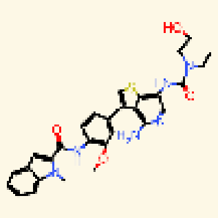 CCN(CCO)C(=O)Nc1cnc(N)c2c(-c3ccc(NC(=O)c4cc5ccccc5n4C)c(OC)c3)csc12